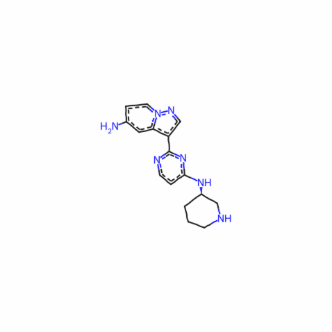 Nc1ccn2ncc(-c3nccc(N[C@@H]4CCCNC4)n3)c2c1